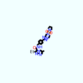 CCc1nc2ncc(C)cn2c1C(=O)NCc1ccc(-c2nc3n(n2)CCN(S(=O)(=O)N2CCCC2)C3)cc1